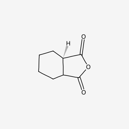 O=C1OC(=O)[C@@H]2CCCCC12